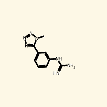 Cn1nnnc1-c1cccc(NC(=N)N)c1